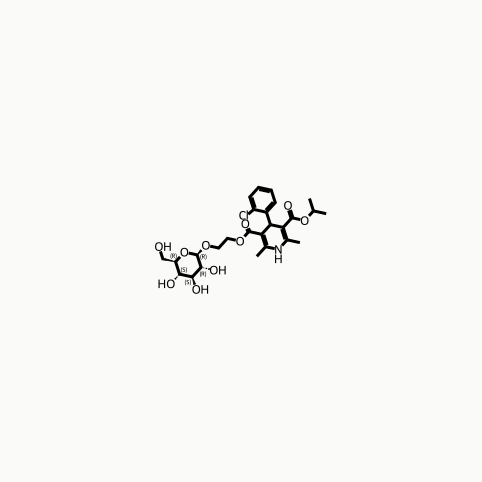 CC1=C(C(=O)OCCO[C@@H]2O[C@H](CO)[C@@H](O)[C@H](O)[C@H]2O)C(c2ccccc2Cl)C(C(=O)OC(C)C)=C(C)N1